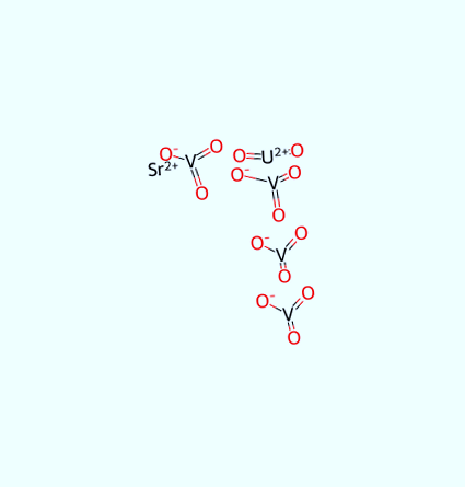 [O]=[U+2]=[O].[O]=[V](=[O])[O-].[O]=[V](=[O])[O-].[O]=[V](=[O])[O-].[O]=[V](=[O])[O-].[Sr+2]